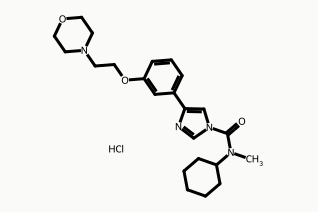 CN(C(=O)n1cnc(-c2cccc(OCCN3CCOCC3)c2)c1)C1CCCCC1.Cl